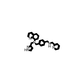 c1ccc(CNCc2ccc(CN(Cc3cc[nH]n3)C3CCCc4cccnc43)cc2)nc1